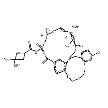 COC1(C)CC(C(=O)NS2(=O)=NC(=O)c3ccc4c(c3)N(Cc3ccc(Cl)cc3CCCCO4)C[C@@H]3C[C@@](OC)(/C=C/C[C@H](C)C2)[C@@H]3C)C1